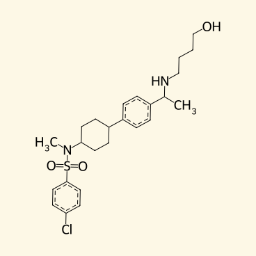 CC(NCCCCO)c1ccc(C2CCC(N(C)S(=O)(=O)c3ccc(Cl)cc3)CC2)cc1